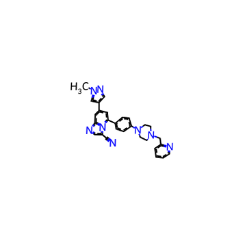 Cn1cc(-c2cc(-c3ccc(N4CCN(Cc5ccccn5)CC4)cc3)n3c(C#N)cnc3c2)cn1